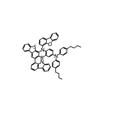 CCCCc1ccc(N(c2ccc(CCCC)cc2)c2ccc3c(c2)B2c4c(cc5c(sc6ccccc65)c4N3c3cccc4c3oc3ccccc34)-c3cccc4c5ccccc5n2c34)cc1